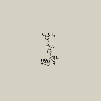 Cc1cc(CCCOc2ccc(CCC(N)(CO)COP(=O)(O)O)cc2C(F)(F)F)ccc1Cl